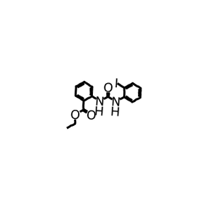 CCOC(=O)c1ccccc1NC(=O)Nc1ccccc1I